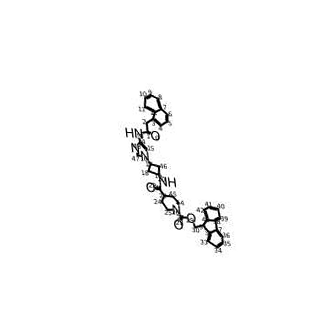 O=C(Cc1cccc2ccccc12)Nc1cn(C2CC(NC(=O)C3CCN(C(=O)OCC4c5ccccc5-c5ccccc54)CC3)C2)cn1